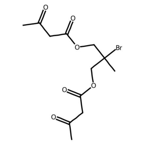 CC(=O)CC(=O)OCC(C)(Br)COC(=O)CC(C)=O